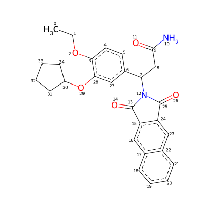 CCOc1ccc(C(CC(N)=O)N2C(=O)c3cc4ccccc4cc3C2=O)cc1OC1CCCC1